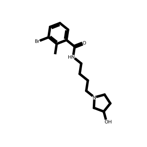 Cc1c(Br)cccc1C(=O)NCCCCN1CCC(O)C1